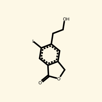 O=C1OCc2cc(CCO)c(I)cc21